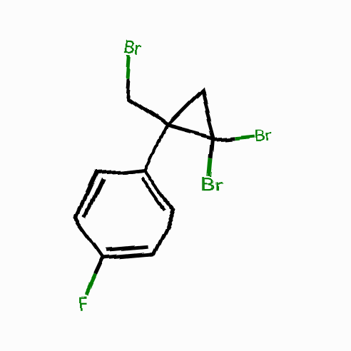 Fc1ccc(C2(CBr)CC2(Br)Br)cc1